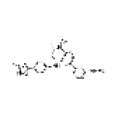 CC(=O)Nc1cccc(-c2ccc3c(c2)[C@H](Nc2ccc(-c4nnn(C)n4)cc2)C[C@H](C)N3C(C)=O)c1